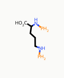 O=C(O)C(CCCNP)NP